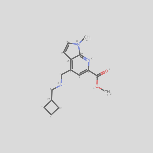 COC(=O)c1cc(CNCC2CCC2)c2ccn(C)c2n1